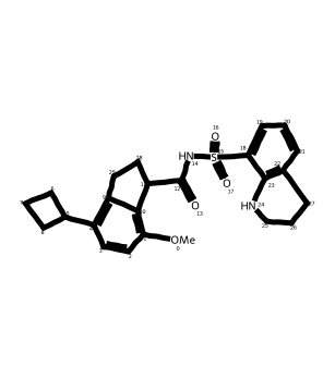 COc1ccc(C2CCC2)c2c1C(C(=O)NS(=O)(=O)c1cccc3c1NCCC3)CC2